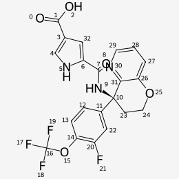 O=C(O)c1c[nH]c(C(=O)N[C@]2(c3ccc(OC(F)(F)F)c(F)c3)CCOc3cccnc32)c1